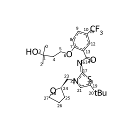 CC(C)(O)CCOc1ccc(C(F)(F)F)cc1C(=O)N=c1sc(C(C)(C)C)cn1C[C@H]1CCCO1